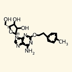 Cc1ccc(CCOc2nc(N)c3ncn([C@@H]4O[C@H](CO)C(O)C4O)c3n2)cc1